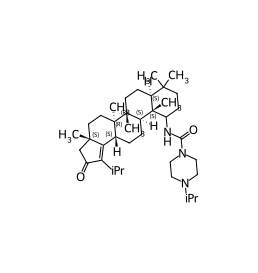 CC(C)C1=C2[C@H]3CC[C@@H]4[C@@]5(C)C(NC(=O)N6CCN(C(C)C)CC6)CCC(C)(C)[C@@H]5CC[C@@]4(C)[C@]3(C)CC[C@@]2(C)CC1=O